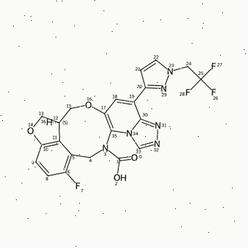 O=C(O)N1Cc2c(F)ccc3c2[C@@H](CO3)COc2cc(-c3ccn(CC(F)(F)F)n3)c3nncn3c21